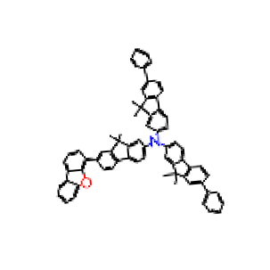 CC1(C)c2cc(-c3ccccc3)ccc2-c2ccc(N(c3ccc4c(c3)C(C)(C)c3cc(-c5ccccc5)ccc3-4)c3ccc4c(c3)C(C)(C)c3cc(-c5cccc6c5oc5ccccc56)ccc3-4)cc21